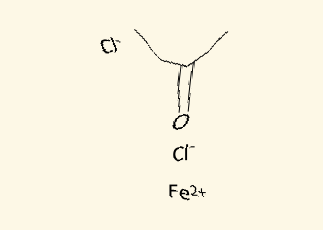 CC(C)=O.[Cl-].[Cl-].[Fe+2]